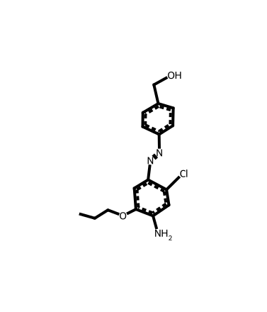 CCCOc1cc(N=Nc2ccc(CO)cc2)c(Cl)cc1N